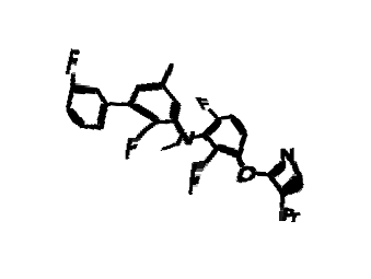 Cc1cc(-c2cccc(F)c2)c(F)c(N(C)c2c(F)ccc(OC3=NC=C3C(C)C)c2F)c1